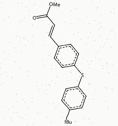 COC(=O)/C=C/c1ccc(Sc2ccc(C(C)(C)C)cc2)cc1